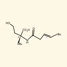 CCCC/C=C/CC(=O)N[C@@](CCO)(CCCC)C(=O)O